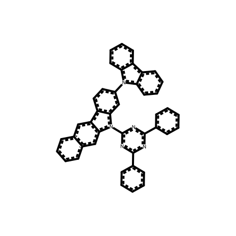 c1ccc(-c2nc(-c3ccccc3)nc(-n3c4cc(-n5c6ccccc6c6ccccc65)ccc4c4cc5ccccc5cc43)n2)cc1